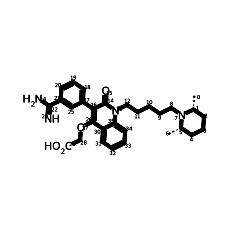 C[C@@H]1CCC[C@H](C)N1CCCCCn1c(=O)c(-c2cccc(C(=N)N)c2)c(OCC(=O)O)c2ccccc21